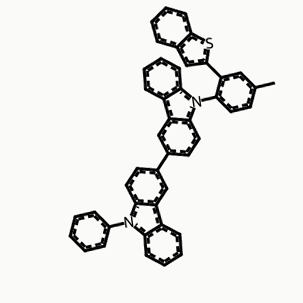 Cc1ccc(-n2c3ccccc3c3cc(-c4ccc5c(c4)c4ccccc4n5-c4ccccc4)ccc32)c(-c2cc3ccccc3s2)c1